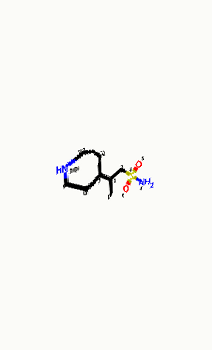 CC(CS(N)(=O)=O)C1CCNCC1